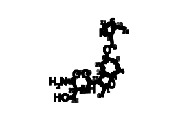 Cc1oc2ccc(OCc3ncsc3C)cc2c1C(=O)NC(CO)C(N)=O